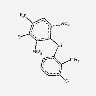 Cc1c(Cl)cccc1Nc1c([N+](=O)[O-])cc(C(F)(F)F)c(Cl)c1[N+](=O)[O-]